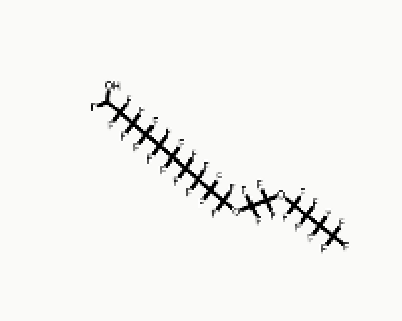 OC(F)C(F)(F)C(F)(F)C(F)(F)C(F)(F)C(F)(F)C(F)(F)C(F)(F)C(F)(F)C(F)(F)OC(F)(F)C(F)(F)OC(F)(F)C(F)(F)C(F)(F)C(F)(F)F